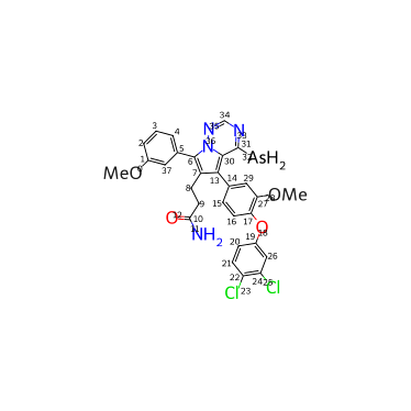 COc1cccc(-c2c(CCC(N)=O)c(-c3ccc(Oc4ccc(Cl)c(Cl)c4)c(OC)c3)c3c([AsH2])ncnn23)c1